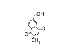 CC1=CC(=O)c2cc(CO)ccc2C1=O